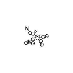 CCC1(CC)c2cc(C#N)ccc2-c2c1c1c(c3cc(OC)c(N4CCOCC4)cc23)OC(c2ccc(OC)cc2)(c2ccc(OC)cc2)C=C1